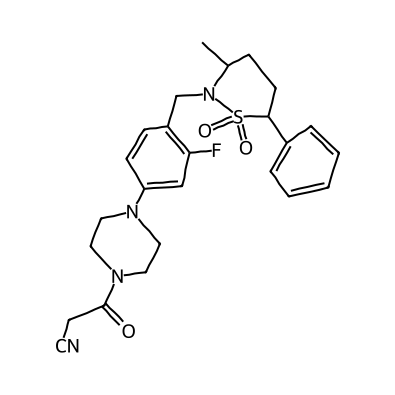 CC1CCC(c2ccccc2)S(=O)(=O)N1Cc1ccc(N2CCN(C(=O)CC#N)CC2)cc1F